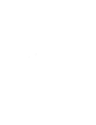 CCCCC(CC)(CC(=O)O)C(=O)OC